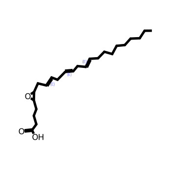 CCCCCCCCC/C=C/C/C=C/C/C=C/CC1OC1CCCC(=O)O